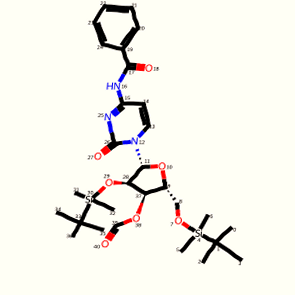 CC(C)(C)[Si](C)(C)OC[C@H]1O[C@@H](n2ccc(NC(=O)c3ccccc3)nc2=O)[C@H](O[Si](C)(C)C(C)(C)C)[C@@H]1OC=O